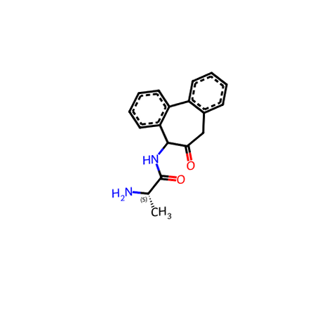 C[C@H](N)C(=O)NC1C(=O)Cc2ccccc2-c2ccccc21